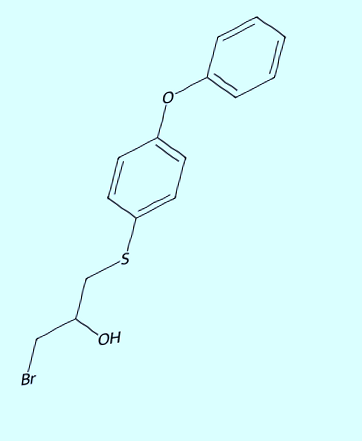 OC(CBr)CSc1ccc(Oc2ccccc2)cc1